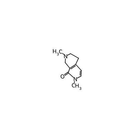 CN1CCc2ccn(C)c(=O)c2C1